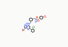 COc1ccc(S(=O)(=O)NCc2cccc(CNc3cc(-c4ccccc4Cl)nc4c(Br)cnn34)c2)cc1